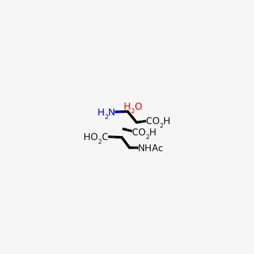 CC(=O)NCCC(=O)O.CC(=O)O.NCCC(=O)O.O